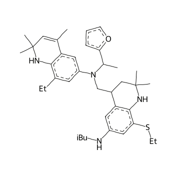 CCSc1cc(NC(C)CC)cc2c1NC(C)(C)CC2CN(c1cc(CC)c2c(c1)C(C)=CC(C)(C)N2)C(C)c1ccco1